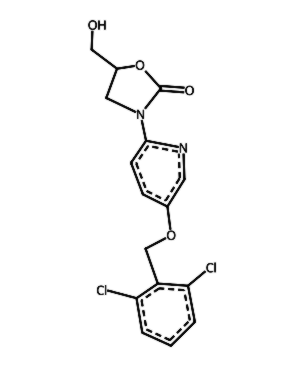 O=C1OC(CO)CN1c1ccc(OCc2c(Cl)cccc2Cl)cn1